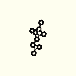 c1ccc(-c2cc(-c3ccccc3)nc(-c3ccccc3-n3c4ccccc4c4cc(-c5cccc6c5c5ccccc5n6-c5ccccc5)ccc43)n2)cc1